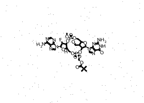 COP1(=O)OCC2O[C@@H](n3cnc4c(=O)[nH]c(N)nc43)C(OP(=O)(OCOC(=O)C(C)(C)C)OC[C@H]3O[C@@H](n4cnc5c(N)ncnc54)C(F)C3O1)C2C=O